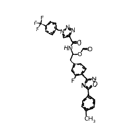 Cc1ccc(-c2nc(-c3ccc(CC(NC(=O)c4cn(-c5ccc(C(F)(F)F)cc5)nn4)OC=O)cc3F)no2)cc1